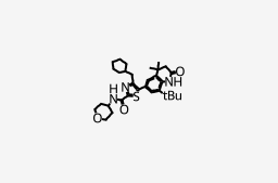 CC(C)(C)c1cc(-c2sc(C(=O)NC3CCOCC3)nc2CC2CCCCC2)cc2c1NC(=O)CC2(C)C